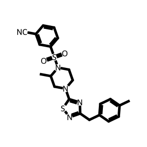 Cc1ccc(Cc2nsc(N3CCN(S(=O)(=O)c4cccc(C#N)c4)C(C)C3)n2)cc1